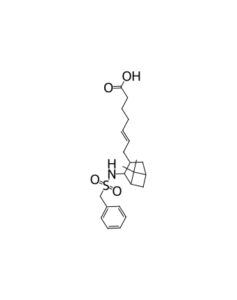 CC1(C)C2CC(CC=CCCCC(=O)O)C(NS(=O)(=O)Cc3ccccc3)C1C2